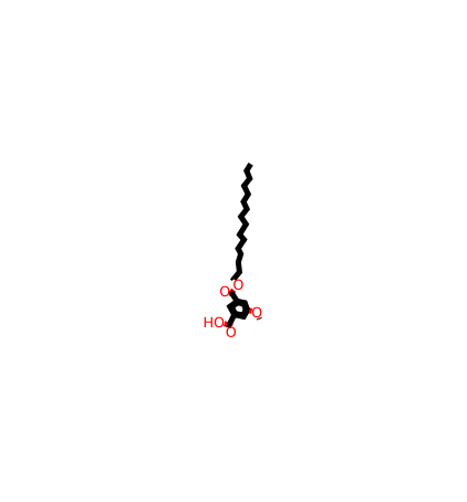 CCCCCCCCCCCCCCCCOC(=O)c1cc(OC)cc(C(=O)O)c1